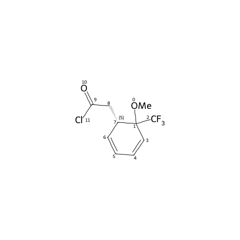 COC1(C(F)(F)F)C=CC=C[C@@H]1CC(=O)Cl